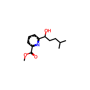 COC(=O)c1cccc(C(O)CCC(C)C)n1